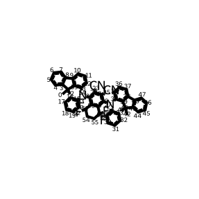 CC1(C)c2ccccc2-c2cccc(N(c3ccccc3)c3c(C#N)c(C#N)c(N(c4ccccc4)c4cccc5c4C(C)(C)c4ccccc4-5)c4c3C(F)(F)CCC4(F)F)c21